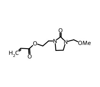 C=CC(=O)OCCN1CCN(COC)C1=O